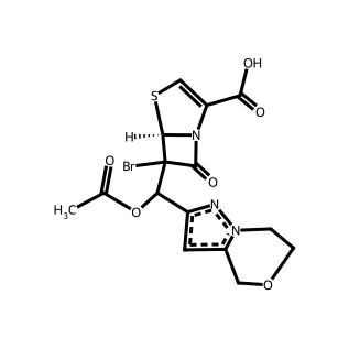 CC(=O)OC(c1cc2n(n1)CCOC2)C1(Br)C(=O)N2C(C(=O)O)=CS[C@@H]21